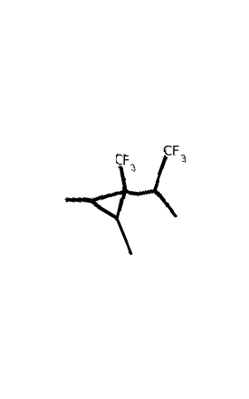 CC1C(C)C1(C(C)C(F)(F)F)C(F)(F)F